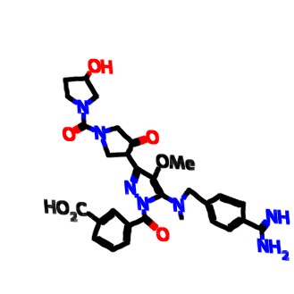 COc1c(C2CN(C(=O)N3CCC(O)C3)CC2=O)nn(C(=O)c2cccc(C(=O)O)c2)c1N(C)Cc1ccc(C(=N)N)cc1